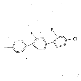 Cc1ccc(-c2ccc(-c3ccc(Cl)cc3F)cc2F)cc1